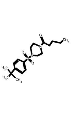 CCCCC(=O)N1CCN(S(=O)(=O)c2ccc(C(C)(C)C)cc2)CC1